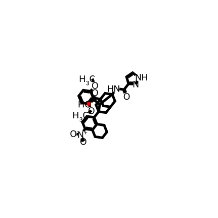 COc1cccc(OC)c1C12CC3CC(NC(=O)c4cc[nH]n4)(C1)C(C(=O)O)C(c1ccc([N+](=O)[O-])c4c1CCCC4)(C3)C2